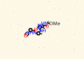 COC[C@H](C)NC(=O)c1cn2ncnc(Nc3cc(NC(=O)c4cccc(N5CCOCC5)c4)ccc3C)c2c1C